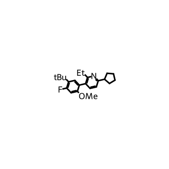 CCc1nc(C2CCCC2)ccc1-c1cc(C(C)(C)C)c(F)cc1OC